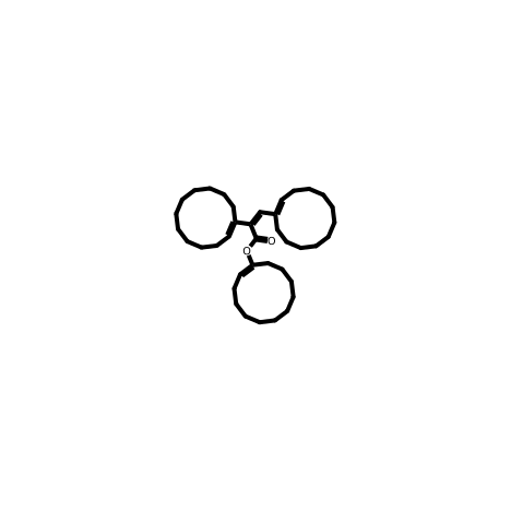 O=C(OC1=CCCCCCCCCCC1)C(=CC1=CCCCCCCCCCC1)C1=CCCCCCCCCCC1